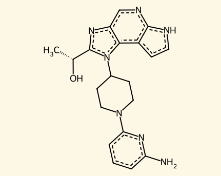 C[C@@H](O)c1nc2cnc3[nH]ccc3c2n1C1CCN(c2cccc(N)n2)CC1